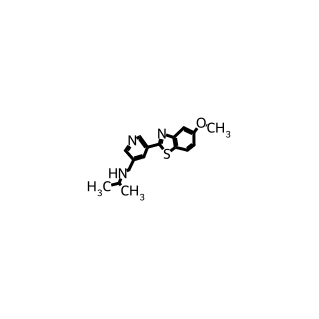 COc1ccc2sc(-c3cncc(CNC(C)C)c3)nc2c1